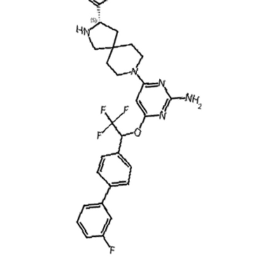 Nc1nc(OC(c2ccc(-c3cccc(F)c3)cc2)C(F)(F)F)cc(N2CCC3(CC2)CN[C@H](C(=O)O)C3)n1